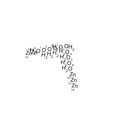 O.O.O.O.O.O.O.O.O.O.[Zn].[Zn].[Zn].[Zn].[Zn]